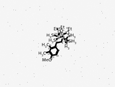 CCO[SiH](OCC)[Si](CCc1ccc(OC)c(C)c1C)([Si]([SiH3])([SiH3])[SiH3])[Si]([SiH3])([SiH3])OCC